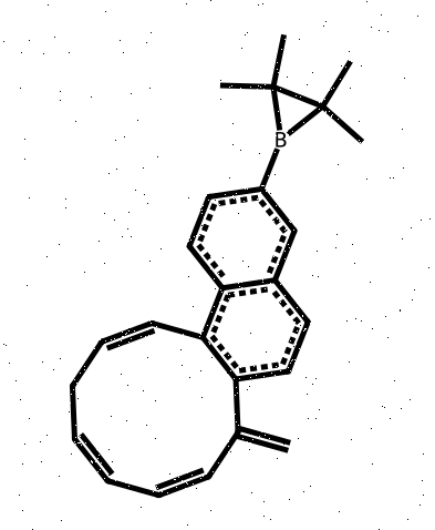 C=C1/C=C\C=C/C/C=C\c2c1ccc1cc(B3C(C)(C)C3(C)C)ccc21